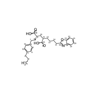 CCCc1ccc(CC[C@H](CC(CCCCc2nc3ccccc3o2)C(=O)O)C(=O)O)cc1